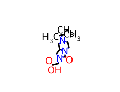 CC(C)(C)N1CCN2C(=O)N(CC(=O)O)CC2C1